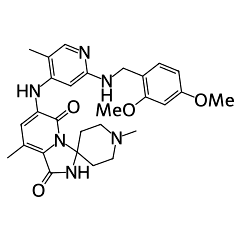 COc1ccc(CNc2cc(Nc3cc(C)c4n(c3=O)C3(CCN(C)CC3)NC4=O)c(C)cn2)c(OC)c1